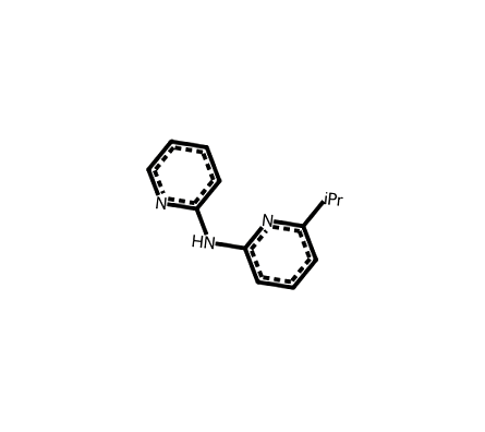 CC(C)c1cccc(Nc2ccccn2)n1